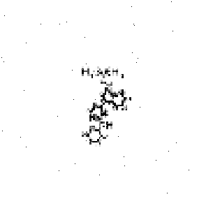 CN(C)CCn1cc(-c2ccnc(NC3CCCCC3)n2)c2cccnc21